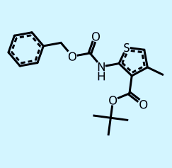 Cc1csc(NC(=O)OCc2ccccc2)c1C(=O)OC(C)(C)C